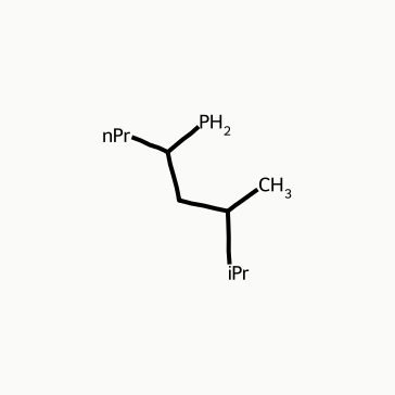 CCCC(P)CC(C)C(C)C